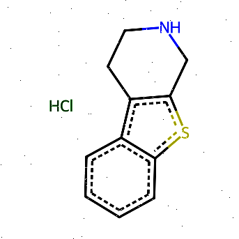 Cl.c1ccc2c3c(sc2c1)CNCC3